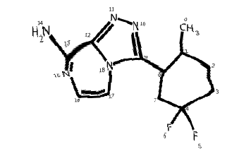 CC1CCC(F)(F)CC1c1nnc2c(N)nccn12